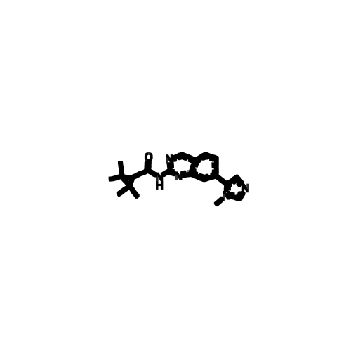 Cn1cncc1-c1ccc2cnc(NC(=O)C3C(C)(C)C3(C)C)nc2c1